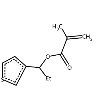 C=C(C)C(=O)OC(CC)c1ccsc1